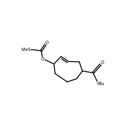 CSC(=O)OC1/C=C/CC(C(=O)C(C)(C)C)CCC1